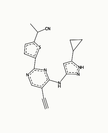 C#Cc1cnc(-c2ccc(C(C)C#N)s2)nc1Nc1cc(C2CC2)[nH]n1